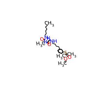 CCCCCCCn1nc(NCCCCc2cccc(SC(C)(C)C(=O)OCC)c2)c(=O)n(C)c1=O